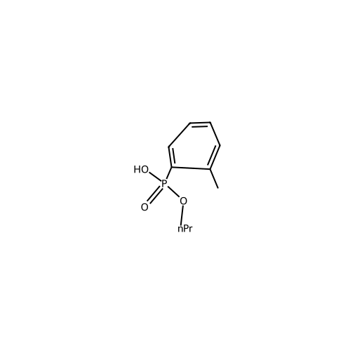 CCCOP(=O)(O)c1ccccc1C